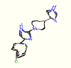 Clc1ccc(-c2c[nH]c(N3CCC(c4c[nH]cn4)CC3)n2)cc1